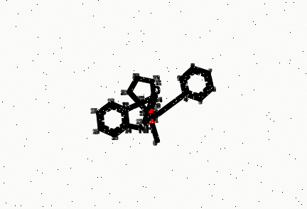 CC1=NN(c2ccccc2)C(=O)C12Nc1ccccc1C21CCCC1